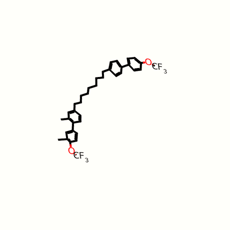 Cc1cc(-c2ccc(CCCCCCCCCc3ccc(-c4ccc(OC(F)(F)F)cc4)cc3)cc2C)ccc1OC(F)(F)F